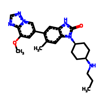 CCCN[C@H]1CC[C@@H](n2c(=O)[nH]c3cc(-c4cc(OC)c5ncnn5c4)c(C)cc32)CC1